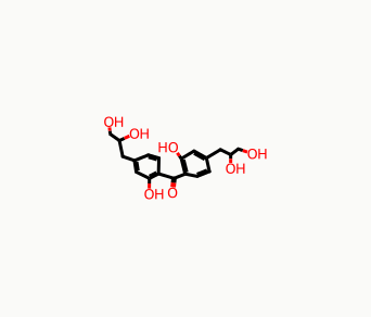 O=C(c1ccc(CC(O)CO)cc1O)c1ccc(CC(O)CO)cc1O